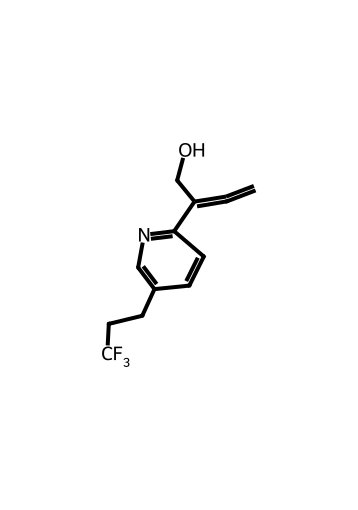 C=C=C(CO)c1ccc(CCC(F)(F)F)cn1